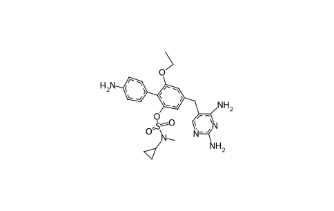 CCOc1cc(Cc2cnc(N)nc2N)cc(OS(=O)(=O)N(C)C2CC2)c1-c1ccc(N)cc1